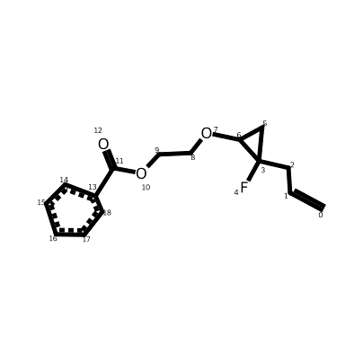 C=CCC1(F)CC1OCCOC(=O)c1ccccc1